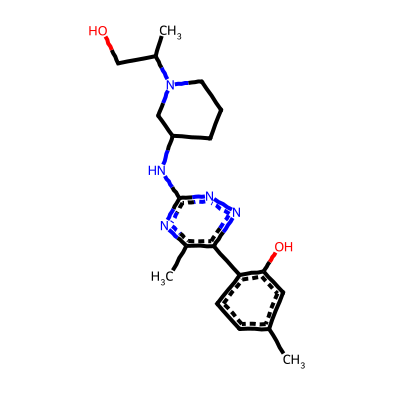 Cc1ccc(-c2nnc(NC3CCCN(C(C)CO)C3)nc2C)c(O)c1